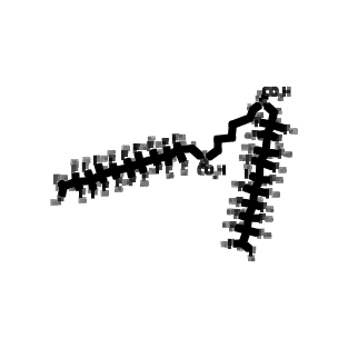 O=C(O)N(CCCCCCN(CC(F)(F)C(F)(F)C(F)(F)C(F)(F)C(F)(F)C(F)(F)C(F)(F)C(F)(F)C(F)(F)C(F)F)C(=O)O)CC(F)(F)C(F)(F)C(F)(F)C(F)(F)C(F)(F)C(F)(F)C(F)(F)C(F)(F)C(F)(F)C(F)F